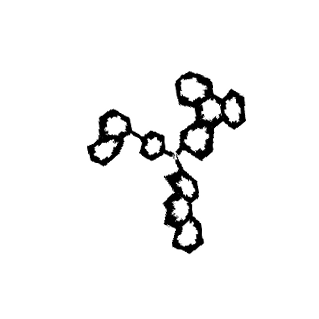 c1ccc2c(-c3ccc(N(c4ccc5c(ccc6ccccc65)c4)c4ccc5c6ccccc6c6ccccc6c5c4)cc3)cccc2c1